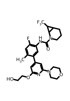 Cc1cc(F)c(NC(=O)N2CCCC3C2C3C(F)(F)F)cc1-c1cc(OCCO)nc(N2CCOCC2)c1